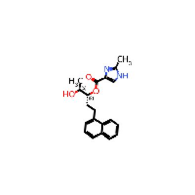 Cc1nc(C(=O)O[C@H](CCc2cccc3ccccc23)[C@H](C)O)c[nH]1